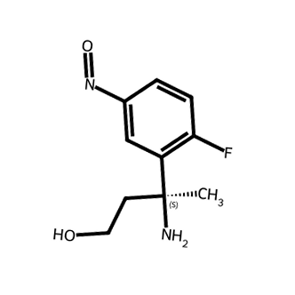 C[C@](N)(CCO)c1cc(N=O)ccc1F